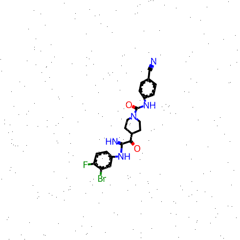 N#Cc1ccc(NC(=O)N2CCC(C(=O)C(=N)Nc3ccc(F)c(Br)c3)CC2)cc1